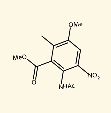 COC(=O)c1c(C)c(OC)cc([N+](=O)[O-])c1NC(C)=O